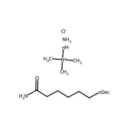 CCCCCCCCCCCCCCCC(N)=O.CCC[N+](C)(C)C.N.[Cl-]